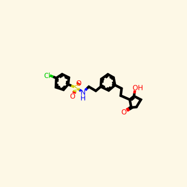 O=C1CCC(O)=C1CCc1cccc(CCNS(=O)(=O)c2ccc(Cl)cc2)c1